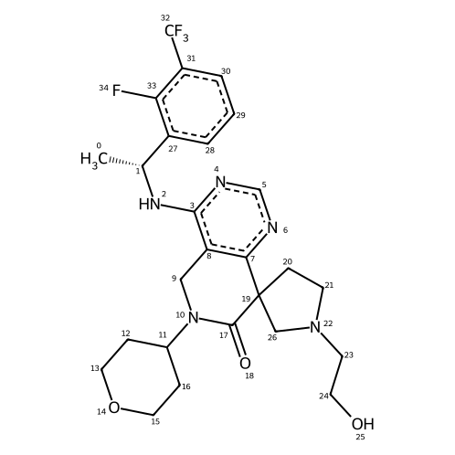 C[C@@H](Nc1ncnc2c1CN(C1CCOCC1)C(=O)C21CCN(CCO)C1)c1cccc(C(F)(F)F)c1F